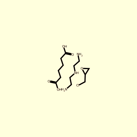 ClCC1CO1.NCCNCCN.O=C(O)CCCCC(=O)O